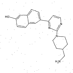 NCC1CCN(c2nccc(-c3ccc4cc(O)ccc4c3)n2)CC1